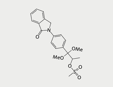 COC(OC)(c1ccc(N2Cc3ccccc3C2=O)cc1)C(C)OS(C)(=O)=O